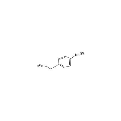 CCCCCCc1ccc([N+]#N)cc1